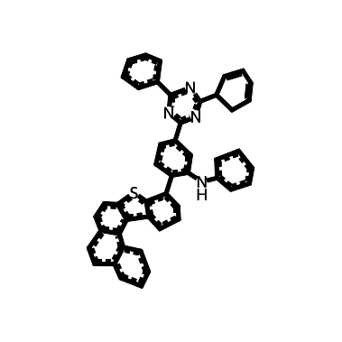 C1=CCC(c2nc(-c3ccccc3)nc(-c3ccc(-c4cccc5c4sc4ccc6ccc7ccccc7c6c45)c(Nc4ccccc4)c3)n2)C=C1